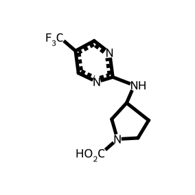 O=C(O)N1CCC(Nc2ncc(C(F)(F)F)cn2)C1